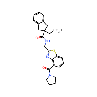 O=C(O)CC1(C(=O)NCc2nc3c(C(=O)N4CCCC4)cccc3s2)Cc2ccccc2C1